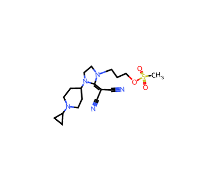 CS(=O)(=O)OCCCN1CCN(C2CCN(C3CC3)CC2)C1=C(C#N)C#N